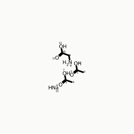 CC(=O)O.CC(=O)O.NCC(=O)O.[NaH]